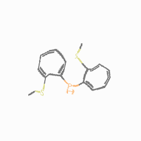 CSc1ccccc1Pc1ccccc1SC